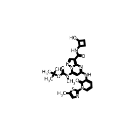 Cc1cnc(-n2cccc(Nc3cc(N(C)C(=O)OC(C)(C)C)n4ncc(C(=O)NC5CCC5O)c4n3)c2=O)s1